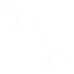 Oc1ccc(CCc2ncc[nH]2)cc1